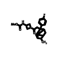 COC(=O)NC1CN(C(=O)CC2(c3ccc(F)cc3)C3CC4CC2CC(C3)C4C)C1